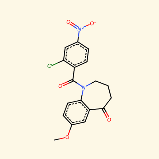 COc1ccc2c(c1)C(=O)CCCN2C(=O)c1ccc([N+](=O)[O-])cc1Cl